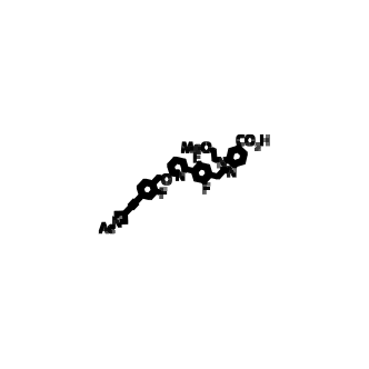 COCCn1c(Cc2cc(F)c(-c3cccc(OCc4ccc(C#CC5CN(C(C)=O)C5)cc4F)n3)cc2F)nc2ccc(C(=O)O)cc21